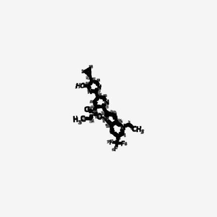 CCn1cc(C(F)(F)F)cc2nc(-c3ncc(-c4ncc(C5CC5)c(O)n4)cc3S(=O)(=O)CC)cc1-2